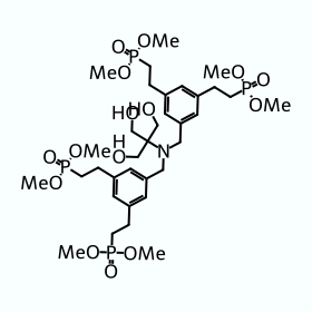 COP(=O)(CCc1cc(CCP(=O)(OC)OC)cc(CN(Cc2cc(CCP(=O)(OC)OC)cc(CCP(=O)(OC)OC)c2)C(CO)(CO)CO)c1)OC